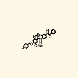 COc1cc2c(Nc3ccc(NC(=O)c4ccccc4)cc3Br)ncnc2cc1OCC1CCN(C)CC1